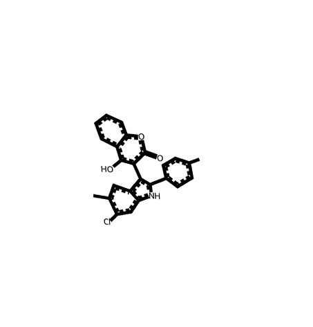 Cc1ccc(-c2[nH]c3cc(Cl)c(C)cc3c2-c2c(O)c3ccccc3oc2=O)cc1